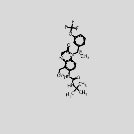 C[C@@H](c1cccc(OC(F)(F)F)c1)n1c(=O)cnc2c(CO)c(NC(=O)NC(C)(C)C)ccc21